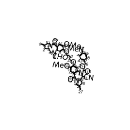 C=C1CC2CN(C=O)c3cc(OCCCOc4cc5c(cc4OC)C(=O)N4CC(=C)CC4C(C#N)N5C(=O)OCc4ccc(NC)cc4)c(OC)cc3C(=O)N2C1